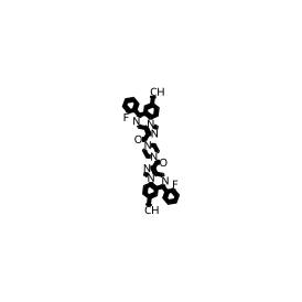 C#Cc1ccc2c(c1)C(c1ccccc1F)=NCc1c(C(=O)N3CCN(C(=O)c4ncn5c4CN=C(c4ccccc4F)c4cc(C#C)ccc4-5)CC3)ncn1-2